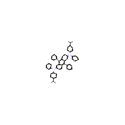 CC(C)c1ccc(N(c2ccccc2)c2ccc3c(-c4ccccc4)c4cc(N(c5ccccc5)c5ccc(C(C)C)cc5)ccc4c(-c4ccccc4)c3c2)cc1